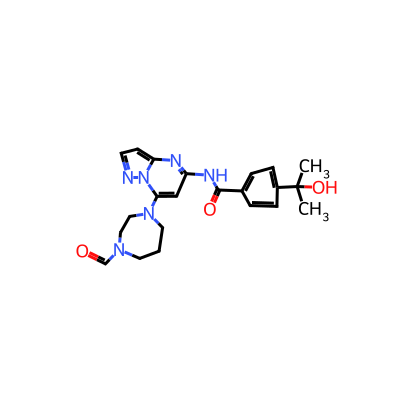 CC(C)(O)c1ccc(C(=O)Nc2cc(N3CCCN(C=O)CC3)n3nccc3n2)cc1